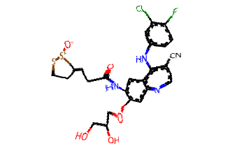 N#Cc1cnc2cc(OCC(O)CO)c(NC(=O)CCC3CCS[S+]3[O-])cc2c1Nc1ccc(F)c(Cl)c1